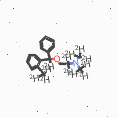 [2H]C([2H])([2H])c1ccccc1C([2H])(OCC([2H])([2H])N(C([2H])([2H])[2H])C([2H])([2H])[2H])c1ccccc1